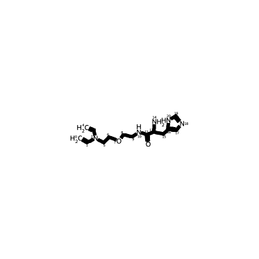 C=CN(C=C)CCOCCNC(=O)C(N)Cc1cnc[nH]1